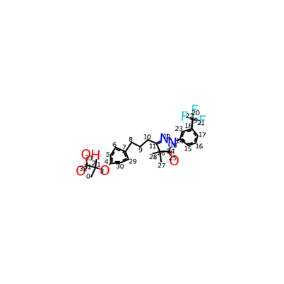 CC(C)(Oc1ccc(CCCC2=NN(c3cccc(C(F)(F)F)c3)C(=O)C2(C)C)cc1)C(=O)O